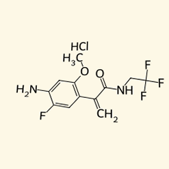 C=C(C(=O)NCC(F)(F)F)c1cc(F)c(N)cc1OC.Cl